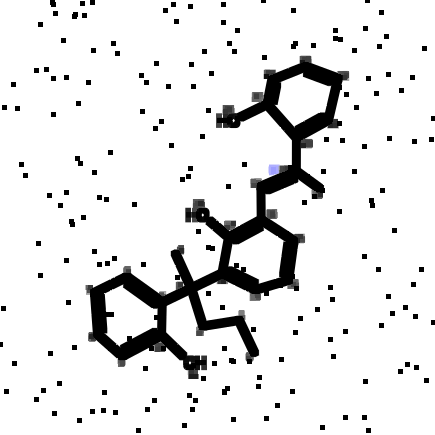 CCCC(C)(c1ccccc1O)c1cccc(/C=C(\C)c2ccccc2O)c1O